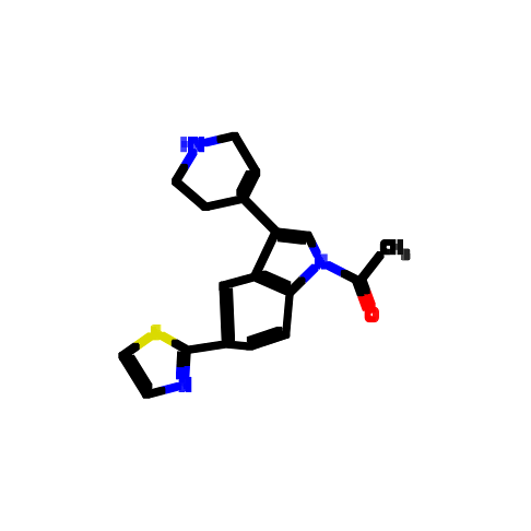 CC(=O)n1cc(C2=CCNCC2)c2cc(-c3nccs3)ccc21